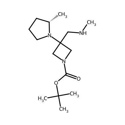 CNCC1(N2CCC[C@@H]2C)CN(C(=O)OC(C)(C)C)C1